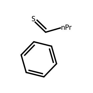 CCCC=S.c1ccccc1